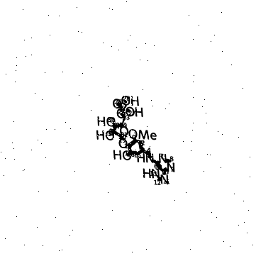 COc1cc(CNc2ncnc3nc[nH]c23)cc(O)c1OC1O[C@H](COP(=O)(O)O)[C@@H](O)[C@H]1O